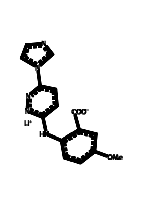 COc1ccc(Nc2ccc(-n3ccnc3)nn2)c(C(=O)[O-])c1.[Li+]